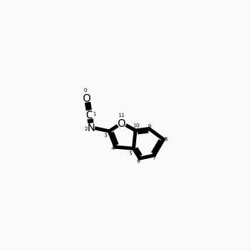 O=C=Nc1cc2ccccc2o1